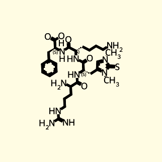 Cn1cc(C[C@H](NC(=O)C(N)CCCNC(=N)N)C(=O)N[C@@H](CCCCN)C(=O)N[C@@H](Cc2ccccc2)C(=O)O)n(C)c1=S